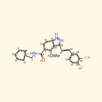 COc1c(C(=O)NCc2ccccc2)ccc2[nH]nc(C=Cc3ccc(F)c(F)c3)c12